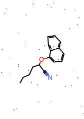 CCCCC(C#N)Oc1cccc2ccccc12